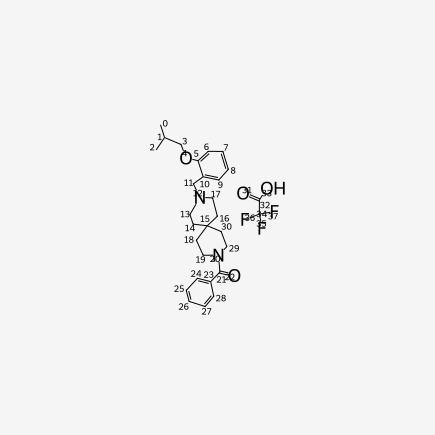 CC(C)COc1ccccc1CN1CCC2(CC1)CCN(C(=O)c1ccccc1)CC2.O=C(O)C(F)(F)F